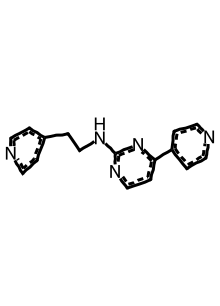 c1cc(CCNc2nccc(-c3ccncc3)n2)ccn1